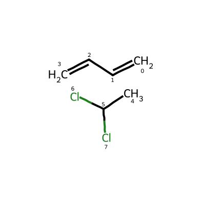 C=CC=C.CC(Cl)Cl